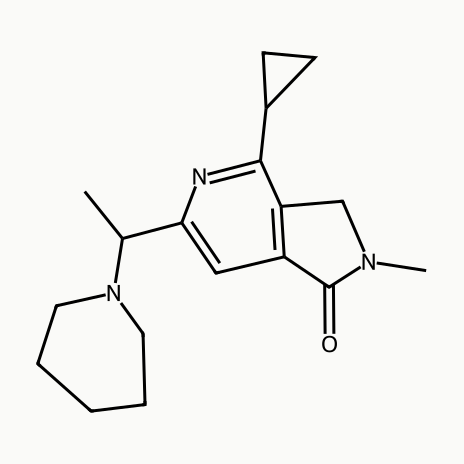 CC(c1cc2c(c(C3CC3)n1)CN(C)C2=O)N1CCCCC1